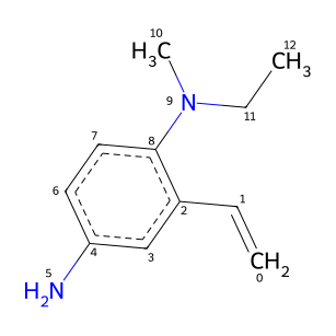 C=Cc1cc(N)ccc1N(C)CC